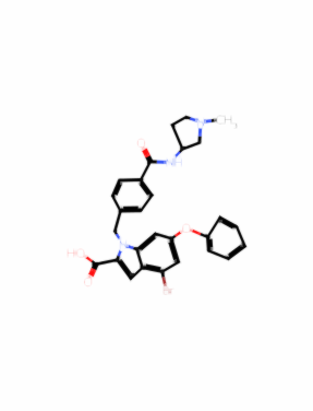 CN1CCC(NC(=O)c2ccc(Cn3c(C(=O)O)cc4c(Br)cc(Oc5ccccc5)cc43)cc2)C1